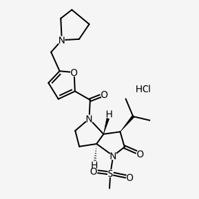 CC(C)[C@H]1C(=O)N(S(C)(=O)=O)[C@H]2CCN(C(=O)c3ccc(CN4CCCC4)o3)[C@H]12.Cl